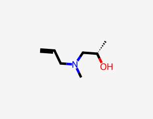 C=CCN(C)C[C@H](C)O